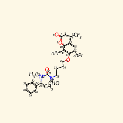 CCCc1cc2c(C(F)(F)F)cc(=O)oc2c(CCC)c1OCCCCN(C=O)C(=O)N(C)C(C)c1ccccc1